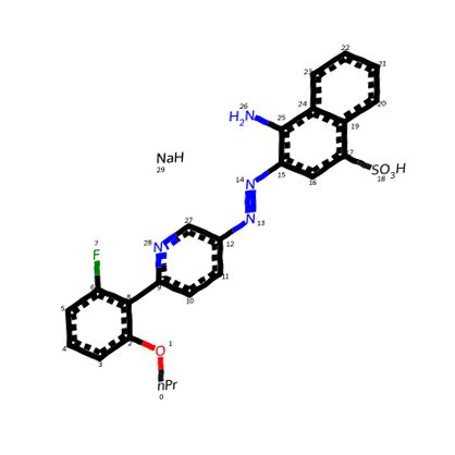 CCCOc1cccc(F)c1-c1ccc(/N=N/c2cc(S(=O)(=O)O)c3ccccc3c2N)cn1.[NaH]